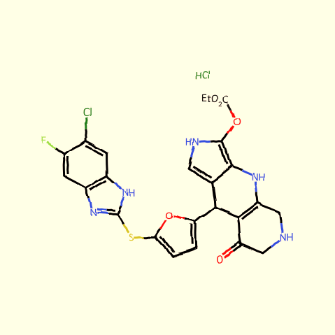 CCOC(=O)Oc1[nH]cc2c1NC1=C(C(=O)CNC1)C2c1ccc(Sc2nc3cc(F)c(Cl)cc3[nH]2)o1.Cl